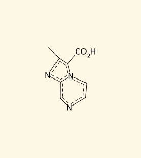 Cc1nc2cnccn2c1C(=O)O